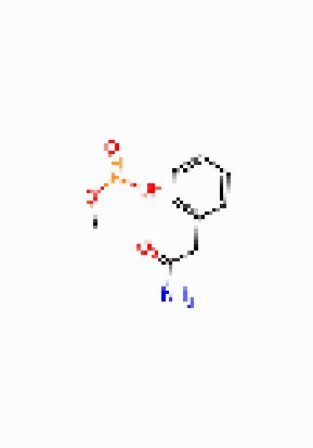 CO[PH](=O)O.NC(=O)Cc1ccccc1